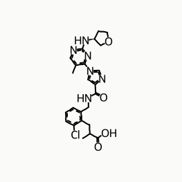 Cc1cnc(N[C@H]2CCOC2)nc1-n1cnc(C(=O)NCc2cccc(Cl)c2CC(C)C(=O)O)c1